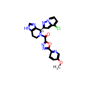 COc1ccc(-c2nnc(C(=O)N3CCc4[nH]cnc4[C@H]3c3cc4c(Cl)cccn4n3)o2)nc1